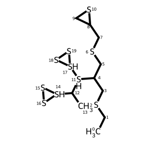 CCSCC(CSCC1CS1)[SH](C(C)[SH]1SS1)[SH]1SS1